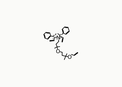 C=CCOC(C)(C)CCOC(C)(C)CCN(S(C)(C=C)c1ccccc1)S(C)(C=C)c1ccccc1